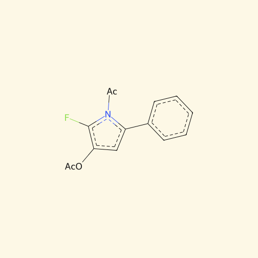 CC(=O)Oc1cc(-c2ccccc2)n(C(C)=O)c1F